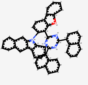 c1ccc2cc3c(cc2c1)c1ccccc1n3-c1ccc2c(oc3ccccc32)c1-c1nc(-c2cccc3ccccc23)nc(-c2cccc3ccccc23)n1